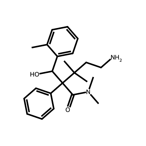 Cc1ccccc1C(O)C(C(=O)N(C)C)(c1ccccc1)C(C)(C)CCN